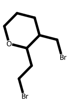 BrCCC1OCCCC1CBr